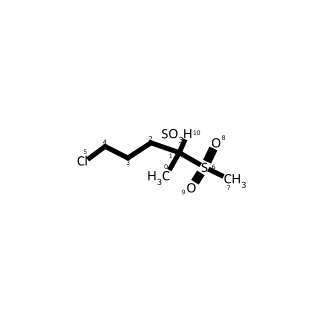 CC(CCCCl)(S(C)(=O)=O)S(=O)(=O)O